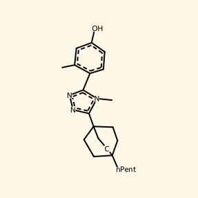 CCCCCC12CCC(c3nnc(-c4ccc(O)cc4C)n3C)(CC1)CC2